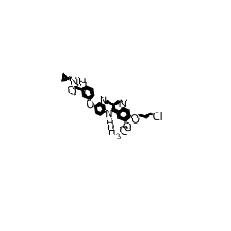 COc1cc2c(Nc3ccc(Oc4cccc(C(=O)NC5CC5)c4)cc3)c(C#N)cnc2cc1OCCCCl